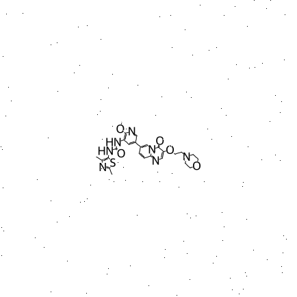 COc1ncc(-c2ccc3ncc(OCCN4CCOCC4)c(=O)n3c2)cc1NC(=O)Nc1sc(C)nc1C